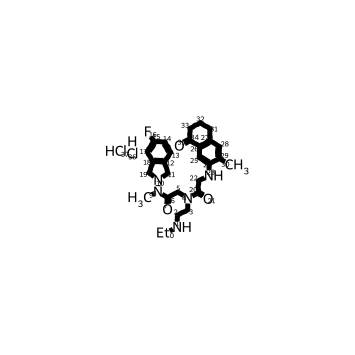 CCNCCN(CC(=O)N(C)N1Cc2ccc(F)cc2C1)C(=O)CNc1cc2c(cc1C)CCCC2=O.Cl.Cl